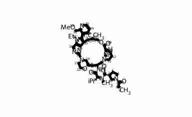 C=CC(=O)N1CC[C@H](C(=O)N(C)[C@H](C(=O)N[C@H]2C[C@H]3CN(CCO3)c3ncc4c(n3)c(c(-c3cccnc3COC)n4CC)CC(C)(C)COC(=O)[C@@H]3CCCN(N3)C2=O)C(C)C)C1